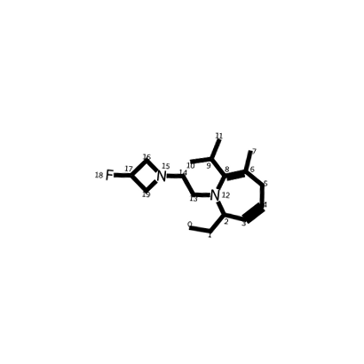 CCC1C#CCC(C)=C(C(C)C)N1CCN1CC(F)C1